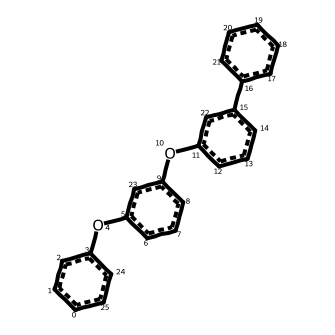 c1ccc(Oc2cccc(Oc3cccc(-c4ccccc4)c3)c2)cc1